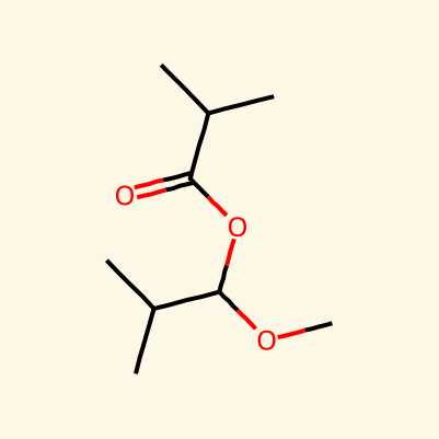 COC(OC(=O)C(C)C)C(C)C